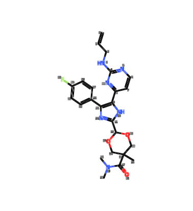 C=CCNc1nccc(-c2[nH]c(C3OCC(C)(C(=O)N(C)C)CO3)nc2-c2ccc(F)cc2)n1